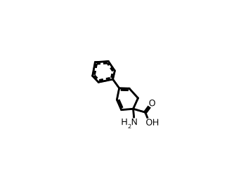 NC1(C(=O)O)C=CC(c2ccccc2)=CC1